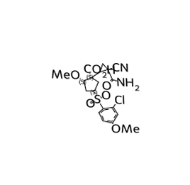 COc1ccc(S(=O)(=O)[C@@H]2C[C@H](OC)[C@@](C(=O)O)(C3CC3(C#N)C(N)=O)C2)c(Cl)c1